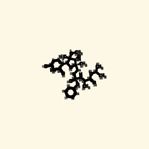 CO[C@@]1(C)[C@H](n2ccc(=O)[nH]c2=O)O[C@](C)(COP(=O)(N[C@H](C)C(=O)OC(C)C)Oc2ccccc2)[C@H]1O